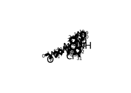 C=CC(=O)N1CC2(CC(n3nc(-c4ccc(CN5CCCS5(=O)=O)cc4)c(-c4c(Cl)c(C)cc5[nH]ncc45)c3C)C2)C1